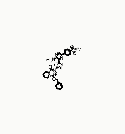 CC(C)S(=O)(=O)c1ccc(-c2cnc(N)c(-c3nnc(NC(=O)[C@@H]4CCCCN4C(=O)OCc4ccccc4)o3)n2)cc1